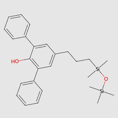 C[Si](C)(C)O[Si](C)(C)CCCc1cc(-c2ccccc2)c(O)c(-c2ccccc2)c1